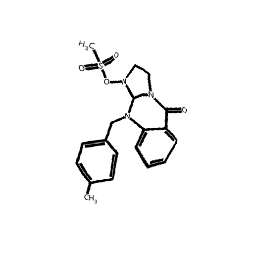 Cc1ccc(CN2c3ccccc3C(=O)N3CCN(OS(C)(=O)=O)C32)cc1